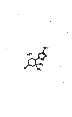 CC1(C)C[S+]([O-])CCN1[n+]1cc([NH-])on1.Cl